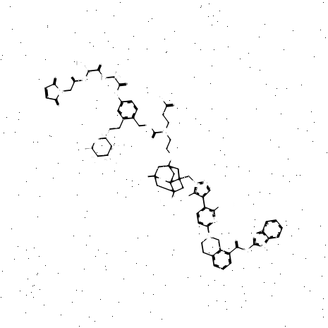 Cc1c(-c2ccc(N3CCc4cccc(C(=O)Nc5nc6ccccc6s5)c4C3)nc2C(=O)O)cnn1CC12CC3(OCCN(CCC(N)=O)C(=O)OCc4ccc(NC(=O)[C@H](C)NC(=O)[C@@H](NC(=O)CN5C(=O)C=CC5=O)C(C)C)cc4CC[C@@H]4O[C@H](C(=O)O)[C@@H](O)[C@H](O)[C@H]4O)CC4(C)CC(C)(C1)C2(C4)C3